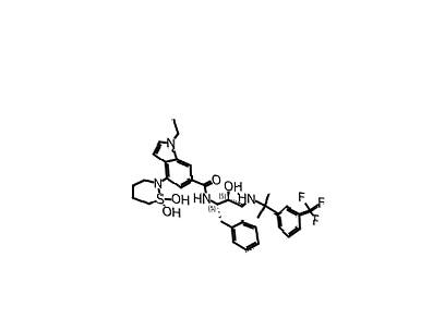 CCn1ccc2c(N3CCCCS3(O)O)cc(C(=O)N[C@@H](Cc3ccccc3)[C@@H](O)CNC(C)(C)c3cccc(C(F)(F)F)c3)cc21